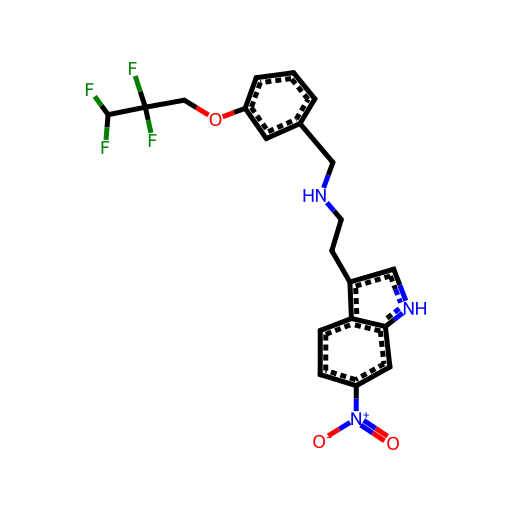 O=[N+]([O-])c1ccc2c(CCNCc3cccc(OCC(F)(F)C(F)F)c3)c[nH]c2c1